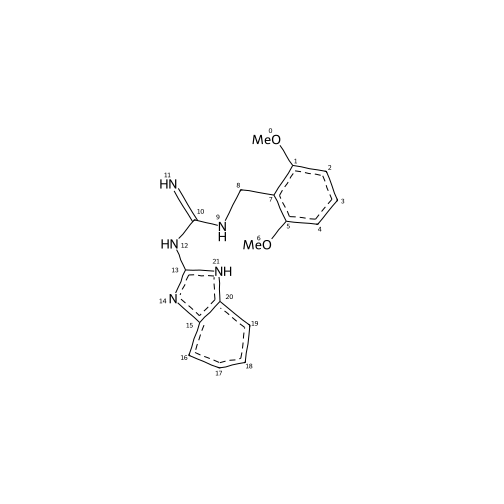 COc1cccc(OC)c1CNC(=N)Nc1nc2ccccc2[nH]1